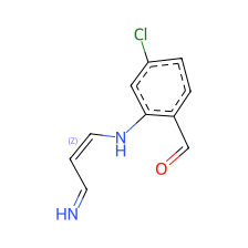 N=C/C=C\Nc1cc(Cl)ccc1C=O